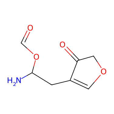 NC(CC1=COCC1=O)OC=O